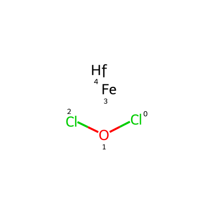 ClOCl.[Fe].[Hf]